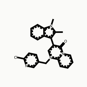 Cc1c(-c2c[n+](Cc3ccc(Cl)nc3)c3ccccn3c2=O)c2ccccc2n1C